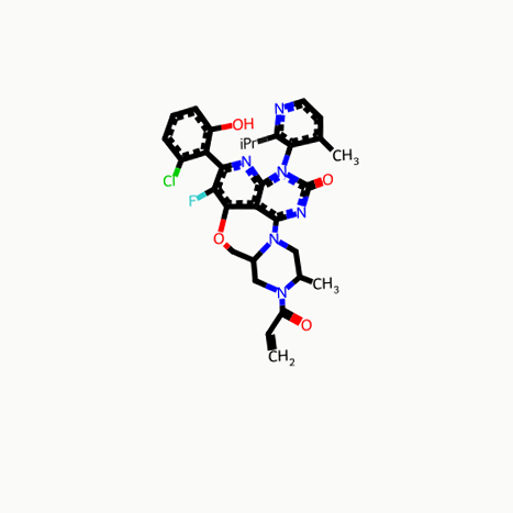 C=CC(=O)N1CC2COc3c(F)c(-c4c(O)cccc4Cl)nc4c3c(nc(=O)n4-c3c(C)ccnc3C(C)C)N2CC1C